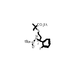 CCOC(=O)C(C)(C)SCC[C@](C)(N[S@+]([O-])C(C)(C)C)c1ccccc1F